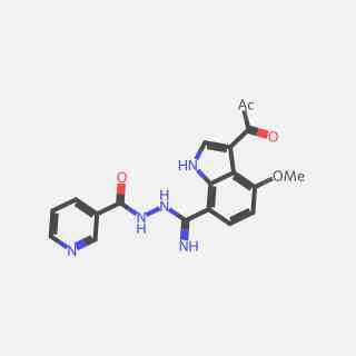 COc1ccc(C(=N)NNC(=O)c2cccnc2)c2[nH]cc(C(=O)C(C)=O)c12